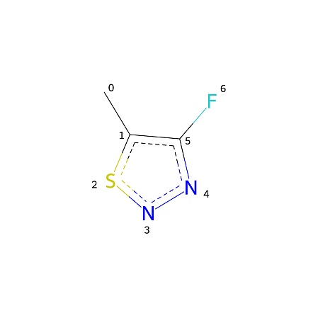 Cc1snnc1F